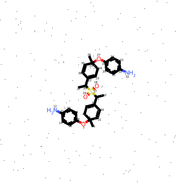 CC(C1=CCC(C)(Oc2ccc(N)cc2)C=C1)S(=O)(=O)C(C)C1=CCC(C)(Oc2ccc(N)cc2)C=C1